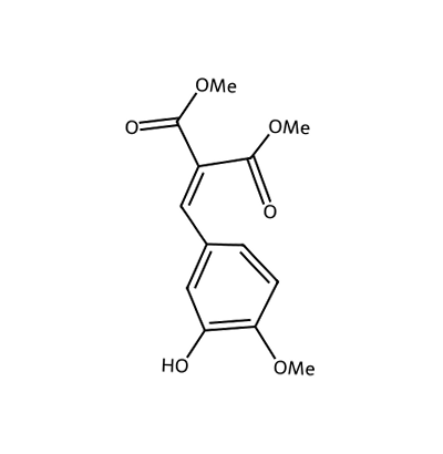 COC(=O)C(=Cc1ccc(OC)c(O)c1)C(=O)OC